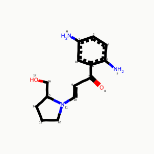 Nc1ccc(N)c(C(=O)C=CN2CCCC2CO)c1